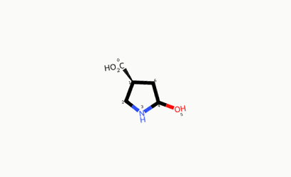 O=C(O)[C@@H]1CNC(O)C1